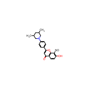 CC1CC(C)CN(c2ccc(-c3cc(=O)c4ccc(O)c(N=O)c4o3)cc2)C1